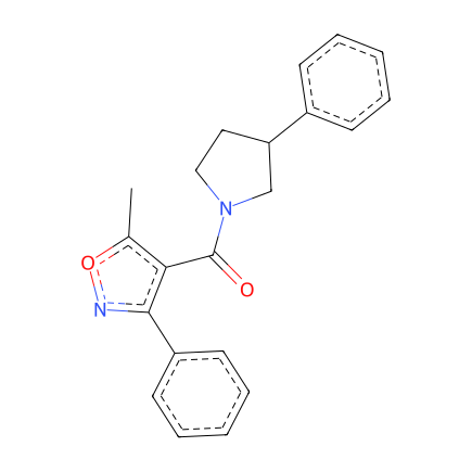 Cc1onc(-c2ccccc2)c1C(=O)N1CCC(c2ccccc2)C1